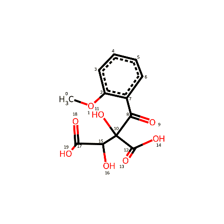 COc1ccccc1C(=O)C(O)(C(=O)O)C(O)C(=O)O